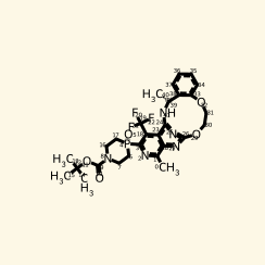 Cc1nc(P2(=O)CCN(C(=O)OC(C)(C)C)CC2)c(C(F)(F)F)c2c3nc(nc12)OCCOc1ccccc1[C@@H](C)N3